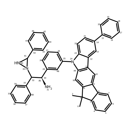 CC1(C)c2ccccc2-c2cc3c4cc(-c5ccccc5)ccc4n(-c4cccc([C@@H](N)C(c5ccccc5)N5NC5c5ccccc5)c4)c3cc21